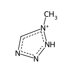 C[n+]1cnn[nH]1